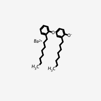 CCCCCCCCc1ccccc1[O-].CCCCCCCCc1ccccc1[O-].[Ba+2]